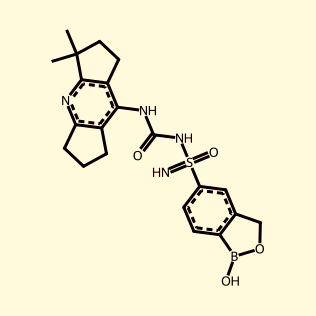 CC1(C)CCc2c1nc1c(c2NC(=O)NS(=N)(=O)c2ccc3c(c2)COB3O)CCC1